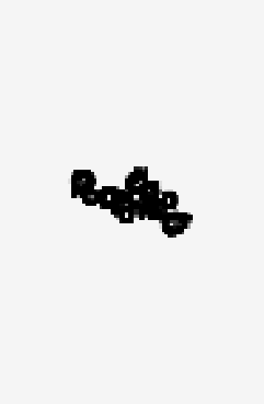 Cc1cc(Oc2ccccn2)ccc1N1C(=O)Nc2c(C(=O)N[C@@H]3CCCN(C)C3)sc3nccc1c23